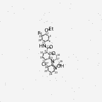 CCOc1ccc(NC(=O)c2cccc3c2OC[C@H](CO)N3c2ncccc2Cl)cc1F